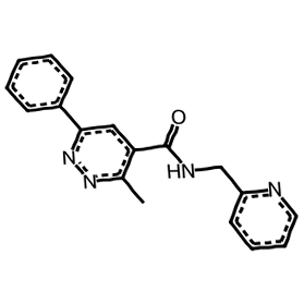 Cc1nnc(-c2ccccc2)cc1C(=O)NCc1ccccn1